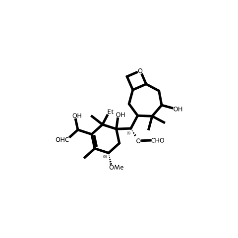 CCC1(C)C(C(O)C=O)=C(C)[C@@H](OC)CC1(O)[C@@H](OC=O)C1CC2COC2CC(O)C1(C)C